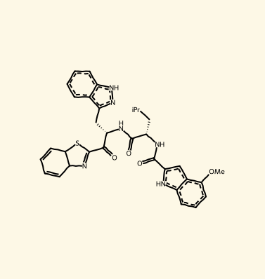 COc1cccc2[nH]c(C(=O)N[C@@H](CC(C)C)C(=O)N[C@@H](Cc3n[nH]c4ccccc34)C(=O)C3=NC4C=CC=CC4S3)cc12